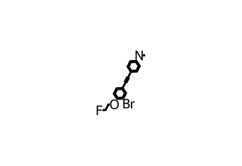 CN(C)c1ccc(C#Cc2ccc(OCCF)c(Br)c2)cc1